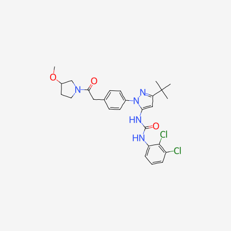 COC1CCN(C(=O)Cc2ccc(-n3nc(C(C)(C)C)cc3NC(=O)Nc3cccc(Cl)c3Cl)cc2)C1